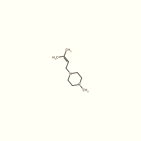 CC(C)=CCN1CCN(C)CC1